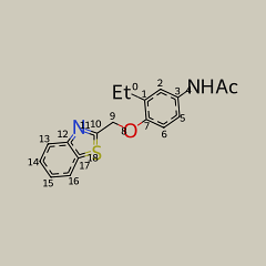 CCc1cc(NC(C)=O)ccc1OCc1nc2ccccc2s1